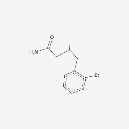 CCc1ccccc1CC(C)CC(N)=O